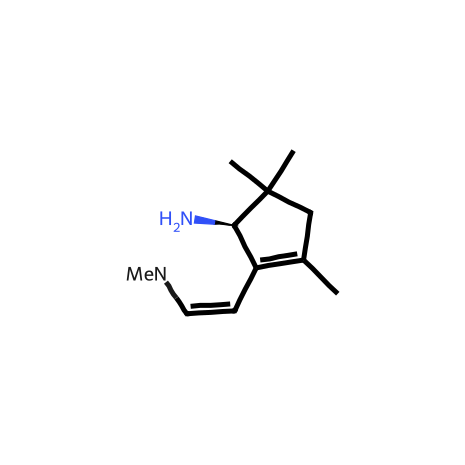 CN/C=C\C1=C(C)CC(C)(C)[C@@H]1N